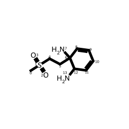 CS(=O)(=O)CCC1(N)C=CC=CC1N